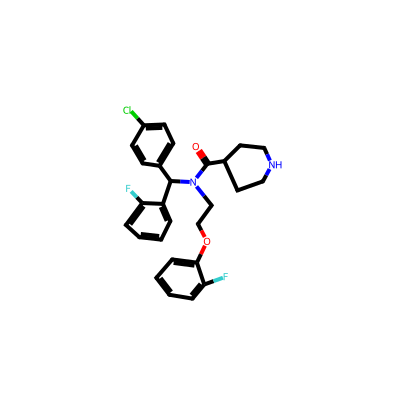 O=C(C1CCNCC1)N(CCOc1ccccc1F)C(c1ccc(Cl)cc1)c1ccccc1F